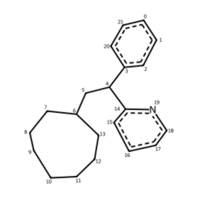 c1ccc(C(CC2CCCCCCC2)c2ccccn2)cc1